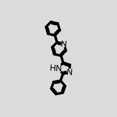 c1ccc(-c2ccc(-c3cnc(-c4ccccc4)[nH]3)cn2)cc1